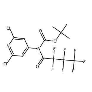 CC(C)(C)OC(=O)N(C(=O)C(F)(F)C(F)(F)C(F)(F)F)c1cc(Cl)nc(Cl)c1